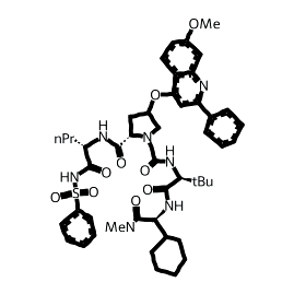 CCC[C@H](NC(=O)[C@@H]1CC(Oc2cc(-c3ccccc3)nc3cc(OC)ccc23)CN1C(=O)N[C@H](C(=O)N[C@H](C(=O)NC)C1CCCCC1)C(C)(C)C)C(=O)NS(=O)(=O)c1ccccc1